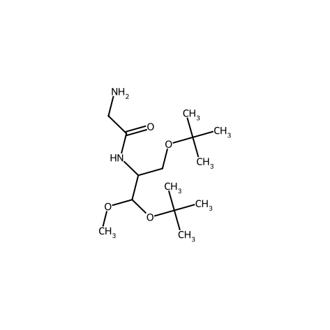 COC(OC(C)(C)C)C(COC(C)(C)C)NC(=O)CN